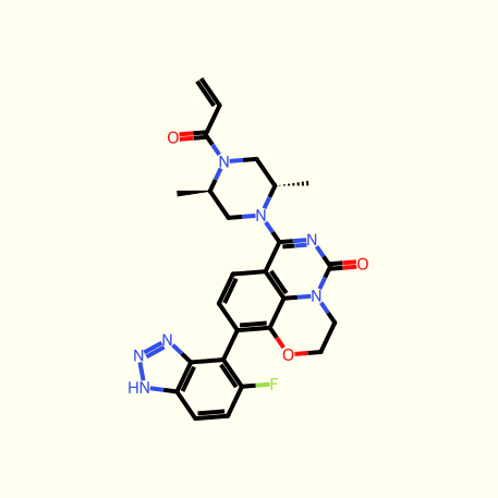 C=CC(=O)N1C[C@H](C)N(c2nc(=O)n3c4c(c(-c5c(F)ccc6[nH]nnc56)ccc24)OCC3)C[C@H]1C